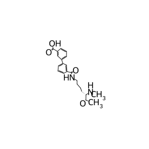 CN[C@@H](CCCCNC(=O)c1cccc(-c2cccc(C(=O)O)c2)c1)C(C)=O